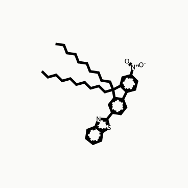 CCCCCCCCCCC1(CCCCCCCCCC)c2cc(-c3nc4ccccc4s3)ccc2-c2ccc([N+](=O)[O-])cc21